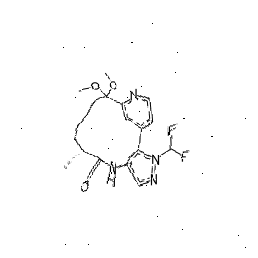 COC1(OC)CCC[C@@H](C)C(=O)Nc2cnn(C(F)F)c2-c2ccnc1c2